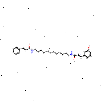 O=C(C=Cc1ccccc1)NCCCCCCCCCCCCNC(=O)/C=C/c1cccc(O)c1